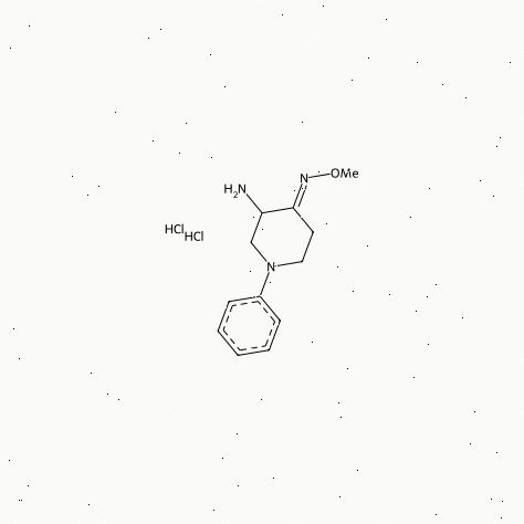 CON=C1CCN(c2ccccc2)CC1N.Cl.Cl